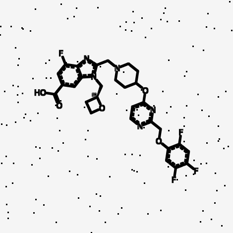 O=C(O)c1cc(F)c2nc(CN3CCC(Oc4ccnc(COc5cc(F)c(F)cc5F)n4)CC3)n(C[C@@H]3CCO3)c2c1